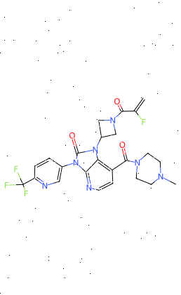 C=C(F)C(=O)N1CC(n2c(=O)n(-c3ccc(C(F)(F)F)nc3)c3nccc(C(=O)N4CCN(C)CC4)c32)C1